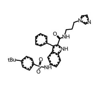 CC(C)(C)c1ccc(S(=O)(=O)Nc2ccc3[nH]c(C(=O)NCCCn4ccnc4)c(-c4ccccc4)c3c2)cc1